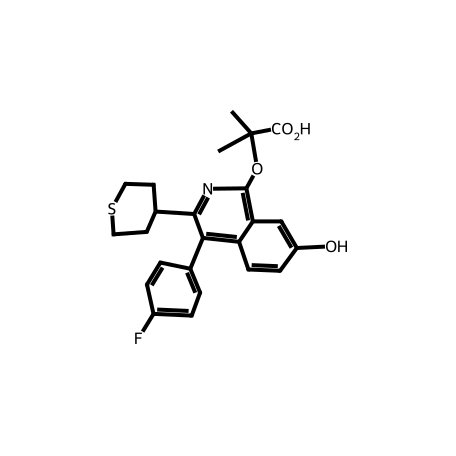 CC(C)(Oc1nc(C2CCSCC2)c(-c2ccc(F)cc2)c2ccc(O)cc12)C(=O)O